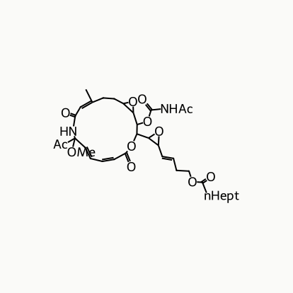 CCCCCCCC(=O)OCC/C=C/C1OC1C1OC(=O)/C=C\C=C\C(OC)(C(C)=O)NC(=O)/C=C(/C)CCC2OC2C1OC(=O)NC(C)=O